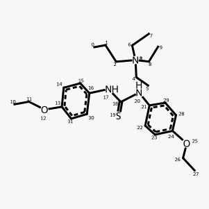 CCC[N+](CC)(CC)CC.CCOc1ccc(NC(=S)Nc2ccc(OCC)cc2)cc1